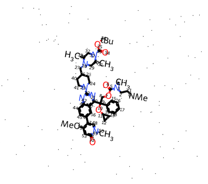 CNCCN(C)C(=O)OCC(OC1CC1)(c1ccccc1)c1nc(N2CCC(CN3C[C@@H](C)N(C(=O)OC(C)(C)C)C[C@@H]3C)CC2)nc2ccc(-c3cn(C)c(=O)cc3OC)cc12